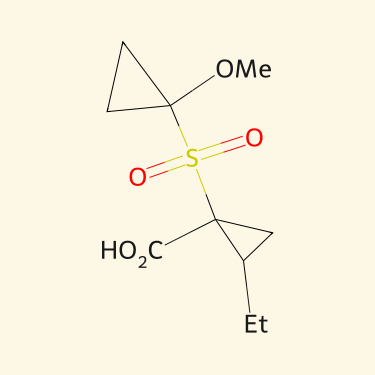 CCC1CC1(C(=O)O)S(=O)(=O)C1(OC)CC1